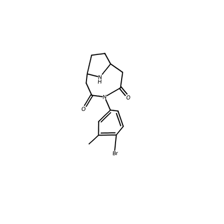 Cc1cc(N2C(=O)CC3CCC(CC2=O)N3)ccc1Br